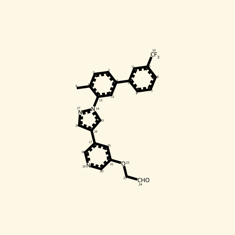 Cc1ccc(-c2cccc(C(F)(F)F)c2)cc1-n1cc(-c2cncc(OCC=O)c2)cn1